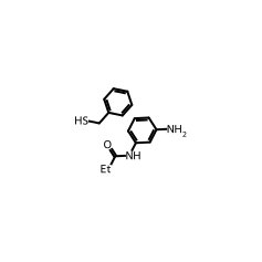 CCC(=O)Nc1cccc(N)c1.SCc1ccccc1